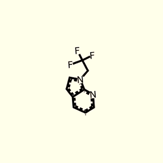 FC(F)(F)Cn1ccc2c[c]cnc21